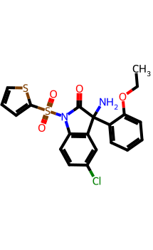 CCOc1ccccc1C1(N)C(=O)N(S(=O)(=O)c2cccs2)c2ccc(Cl)cc21